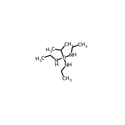 CC[NH][Ti]([NH]CC)([NH]CC)[CH](C)C